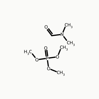 CN(C)C=O.COP(=O)(OC)OC